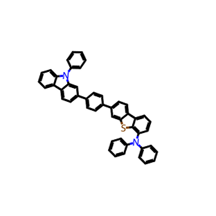 c1ccc(N(c2ccccc2)c2cccc3c2sc2cc(-c4ccc(-c5ccc6c7ccccc7n(-c7ccccc7)c6c5)cc4)ccc23)cc1